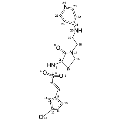 O=C1C(NS(=O)(=O)C=Cc2ccc(Cl)s2)CCN1CCNc1ccncc1